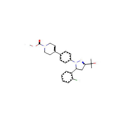 CC(C)(C)OC(=O)N1CC=C(c2ccc(N3N=C(C(O)(C(F)(F)F)C(F)(F)F)CC3c3ccccc3Cl)cc2)CC1